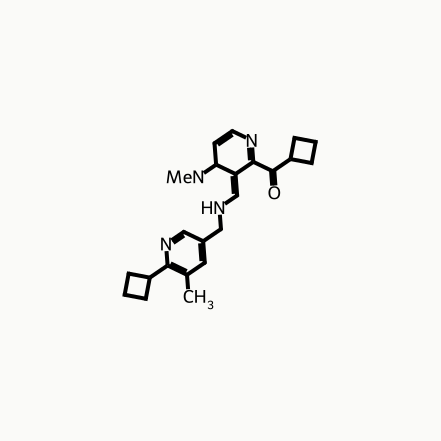 CNC1C=CN=C(C(=O)C2CCC2)/C1=C/NCc1cnc(C2CCC2)c(C)c1